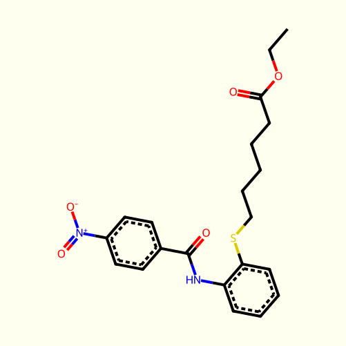 CCOC(=O)CCCCCSc1ccccc1NC(=O)c1ccc([N+](=O)[O-])cc1